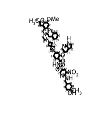 COc1ccc(CN2CCN(C3CC4(C3)CN(c3ccc(C(=O)NS(=O)(=O)c5cnc(NCC6CCC(C)(O)CC6)c([N+](=O)[O-])c5)c(Oc5cnc6[nH]ccc6c5)c3)C4)[C@H](c3ccccc3C(C)C)C2)c2cc(C)oc12